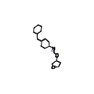 C(=N\C1CCC(CC2CCCCC2)CC1)/OC1CCOC1